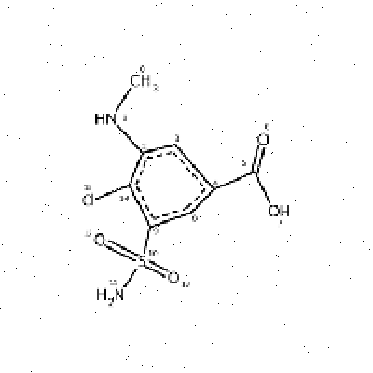 CNc1cc(C(=O)O)cc(S(N)(=O)=O)c1Cl